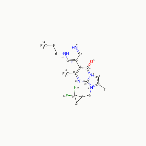 Cc1cn2c(=O)c(/C(C=N)=C/NCCC(F)(F)F)c(C(F)(F)F)nc2n1CC1CC1(F)F